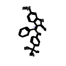 CCCC(N)(CCC)c1ccc(N/C(=C2\C(=O)Nc3cc(C(=O)OCC)ccc32)c2ccccc2)cc1